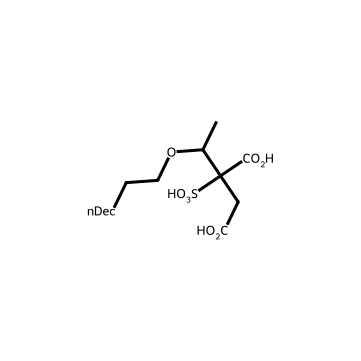 CCCCCCCCCCCCOC(C)C(CC(=O)O)(C(=O)O)S(=O)(=O)O